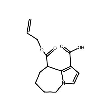 C=CCOC(=O)C1CCCCn2ccc(C(=O)O)c21